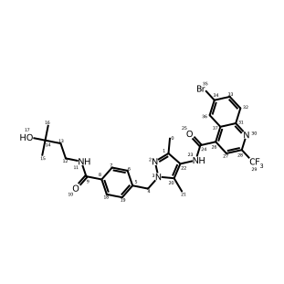 Cc1nn(Cc2ccc(C(=O)NCCC(C)(C)O)cc2)c(C)c1NC(=O)c1cc(C(F)(F)F)nc2ccc(Br)cc12